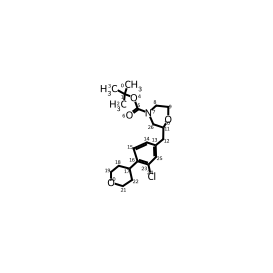 CC(C)(C)OC(=O)N1CCOC(Cc2ccc(C3CCOCC3)c(Cl)c2)C1